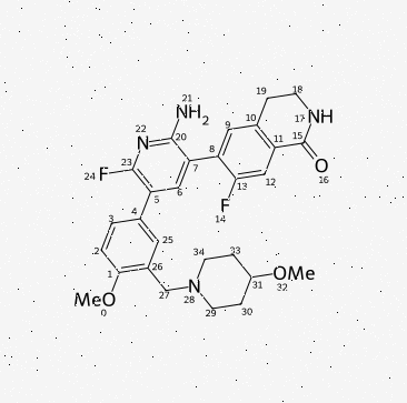 COc1ccc(-c2cc(-c3cc4c(cc3F)C(=O)NCC4)c(N)nc2F)cc1CN1CCC(OC)CC1